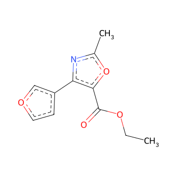 CCOC(=O)c1oc(C)nc1-c1ccoc1